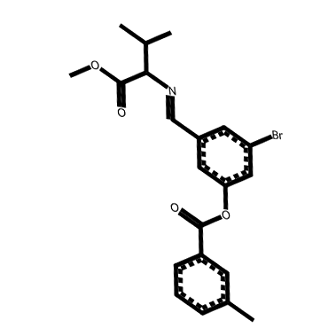 COC(=O)C(N=Cc1cc(Br)cc(OC(=O)c2cccc(C)c2)c1)C(C)C